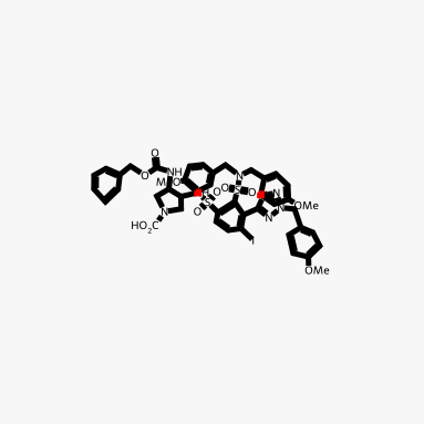 COc1ccc(CN(Cc2ccc(OC)cc2)S(=O)(=O)c2c(S(=O)(=O)NC3CN(C(=O)O)CC3NC(=O)OCc3ccccc3)ccc(I)c2-c2nnn(Cc3ccc(OC)cc3)n2)cc1